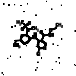 CCONC(=O)c1cnc(Cl)cc1Nc1ccc(CC)cc1N(C)S(C)(=O)=O